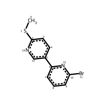 CSc1ccc(-c2cccc(Br)n2)cn1